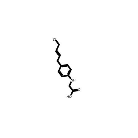 O=C(O)CNc1ccc(CC=CCCl)cc1